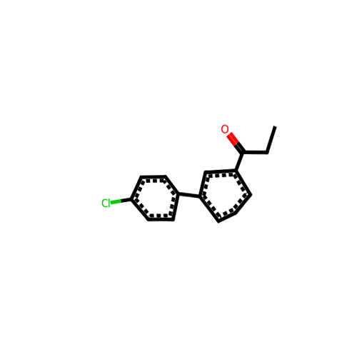 CCC(=O)c1cccc(-c2ccc(Cl)cc2)c1